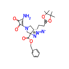 CC1(C)OB(CCC[C@H]2CN(c3c(N)c(=O)c3=O)CC2(N=[N+]=[N-])C(=O)OCc2ccccc2)OC1(C)C